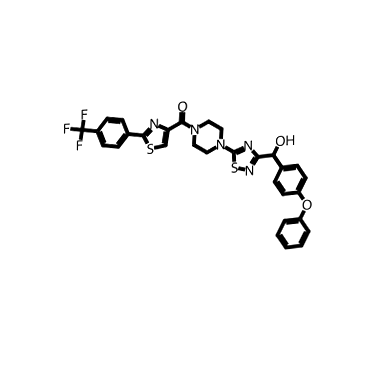 O=C(c1csc(-c2ccc(C(F)(F)F)cc2)n1)N1CCN(c2nc(C(O)c3ccc(Oc4ccccc4)cc3)ns2)CC1